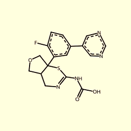 O=C(O)NC1=NCC2COCC2(c2cc(-c3cncnc3)ccc2F)S1